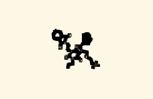 CCCn1c(=O)c2c(nc(C34CC5CC(CC3C5)C4)n2COCC[Si](C)(C)C)n(CCN2C(=O)c3ccccc3C2=O)c1=O